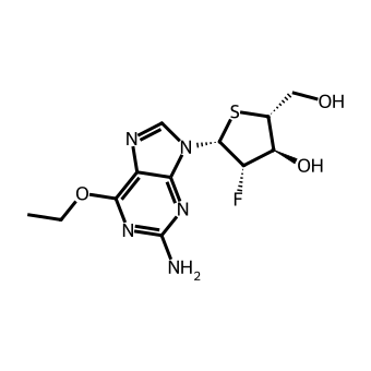 CCOc1nc(N)nc2c1ncn2[C@@H]1S[C@H](CO)[C@@H](O)[C@@H]1F